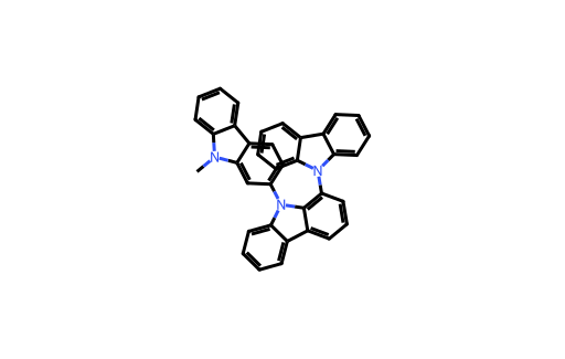 Cn1c2ccccc2c2ccc(-n3c4ccccc4c4cccc(-n5c6ccccc6c6ccccc65)c43)cc21